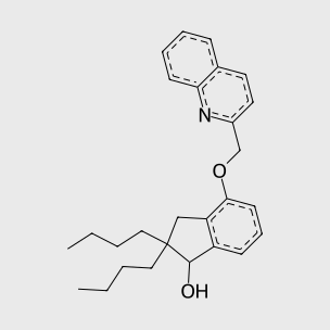 CCCCC1(CCCC)Cc2c(OCc3ccc4ccccc4n3)cccc2C1O